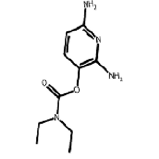 CCN(CC)C(=O)Oc1ccc(N)nc1N